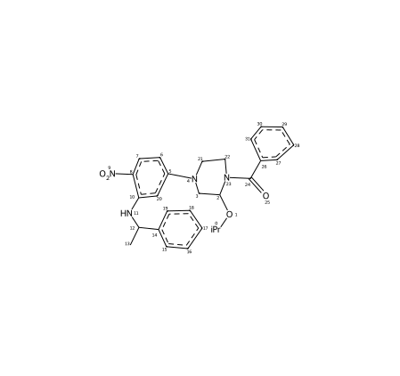 CC(C)OC1CN(c2ccc([N+](=O)[O-])c(NC(C)c3ccccc3)c2)CCN1C(=O)c1ccccc1